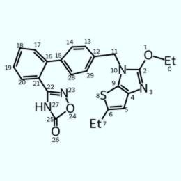 CCOc1nc2cc(CC)sc2n1Cc1ccc(-c2ccccc2-c2noc(=O)[nH]2)cc1